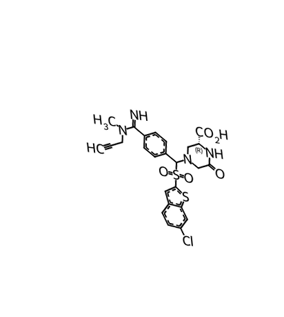 C#CCN(C)C(=N)c1ccc(C(N2CC(=O)N[C@@H](C(=O)O)C2)S(=O)(=O)c2cc3ccc(Cl)cc3s2)cc1